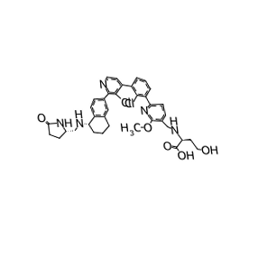 COc1nc(-c2cccc(-c3ccnc(-c4ccc5c(c4)CCC[C@@H]5NC[C@@H]4CCC(=O)N4)c3Cl)c2Cl)ccc1CN[C@@H](CCO)C(=O)O